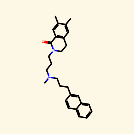 Cc1cc2c(cc1C)C(=O)N(CCCN(C)CCCc1ccc3ccccc3c1)CC2